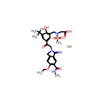 Br.CCOc1cc2c(cc1C(=O)NC)C(=N)N(CC(=O)c1cc(CN(CC(=O)O)S(C)(=O)=O)c(O)c(C(C)(C)C)c1)C2